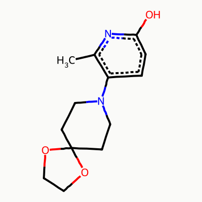 Cc1nc(O)ccc1N1CCC2(CC1)OCCO2